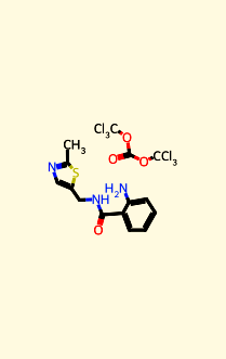 Cc1ncc(CNC(=O)c2ccccc2N)s1.O=C(OC(Cl)(Cl)Cl)OC(Cl)(Cl)Cl